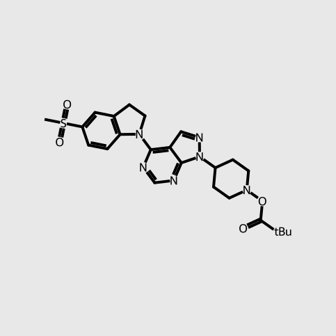 CC(C)(C)C(=O)ON1CCC(n2ncc3c(N4CCc5cc(S(C)(=O)=O)ccc54)ncnc32)CC1